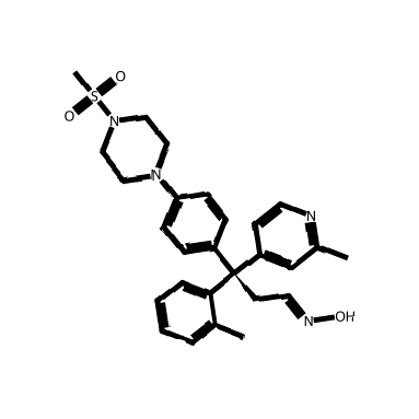 Cc1cc([C@@](C/C=N/O)(c2ccc(N3CCN(S(C)(=O)=O)CC3)cc2)c2ccccc2C)ccn1